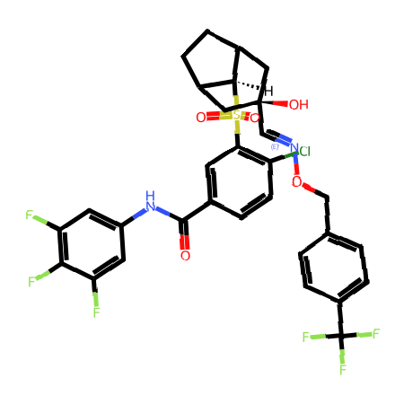 O=C(Nc1cc(F)c(F)c(F)c1)c1ccc(Cl)c(S(=O)(=O)[C@H]2C3CCC2C[C@](O)(/C=N/OCc2ccc(C(F)(F)F)cc2)C3)c1